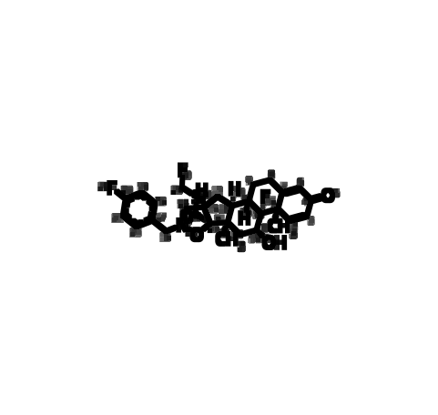 C[C@]12C=CC(=O)C=C1CC[C@H]1[C@@H]3C[C@H]4CN(Cc5ccc(F)cc5)O[C@@]4(C(=O)SCF)[C@@]3(C)C[C@H](O)[C@@]12F